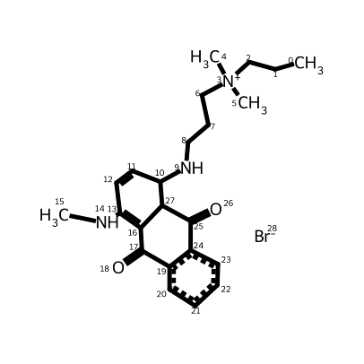 CCC[N+](C)(C)CCCNC1C=CC(NC)=C2C(=O)c3ccccc3C(=O)C21.[Br-]